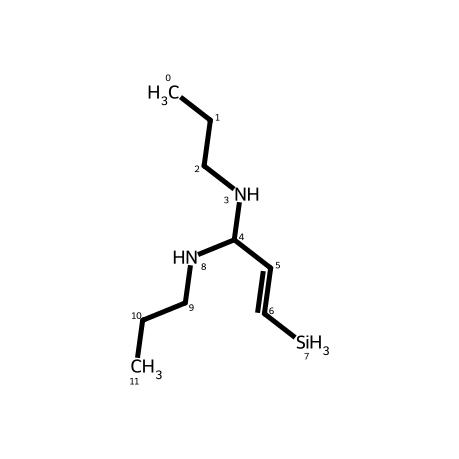 CCCNC(C=C[SiH3])NCCC